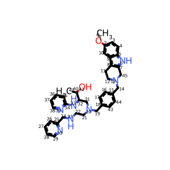 COc1ccc2[nH]c3c(c2c1)CCN(Cc1ccc(CN(CCNCc2ccccn2)CC(Nc2ccccn2)C(C)O)cc1)C3